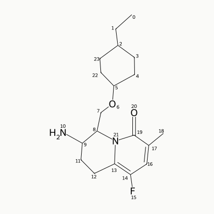 CCC1CCC(OCC2C(N)CCc3c(F)cc(C)c(=O)n32)CC1